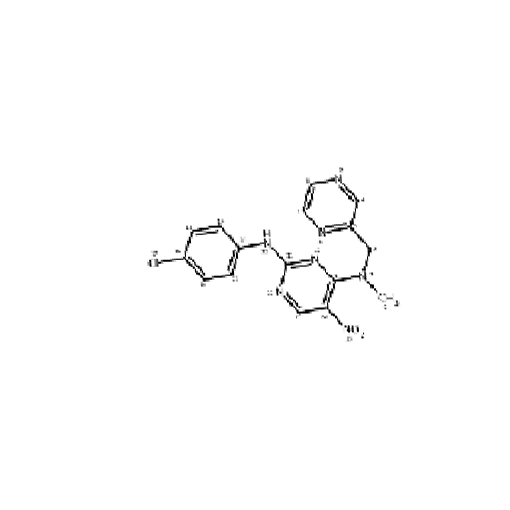 CN(Cc1cnccn1)c1nc(Nc2ccc(Cl)cc2)ncc1[N+](=O)[O-]